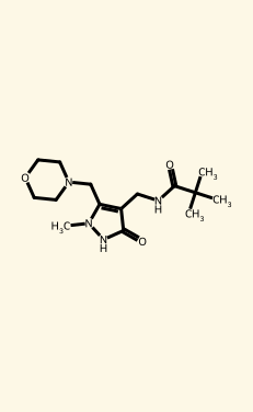 Cn1[nH]c(=O)c(CNC(=O)C(C)(C)C)c1CN1CCOCC1